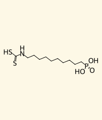 O=P(O)(O)CCCCCCCCCCNC(=S)S